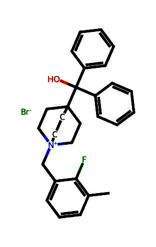 Cc1cccc(C[N+]23CCC(C(O)(c4ccccc4)c4ccccc4)(CC2)CC3)c1F.[Br-]